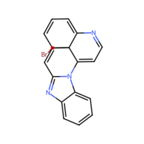 BrC1C=CC=C2N=CC=C3n4c(nc5ccccc54)C=CC231